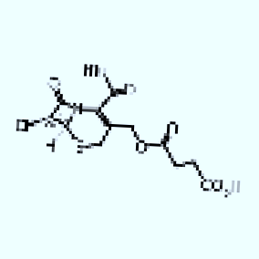 CC(C)(C)C(=O)C1=C(COC(=O)CCC(=O)O)CS[C@H]2[C@@H](Cl)C(=O)N12